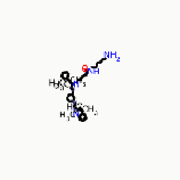 Cc1ccccc1C(C)(C)C(/C=C/C1=CC(=C/C=C2/N(C)c3ccccc3C2(C)C)/CCC1)=NCCCCC(=O)NCCCCCCN